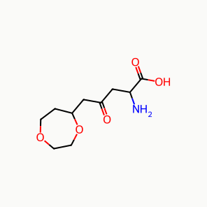 NC(CC(=O)CC1CCOCCO1)C(=O)O